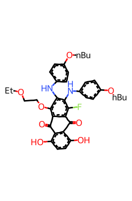 CCCCOc1ccc(Nc2c(F)c3c(c(OCCOCC)c2Nc2ccc(OCCCC)cc2)C(=O)c2c(O)ccc(O)c2C3=O)cc1